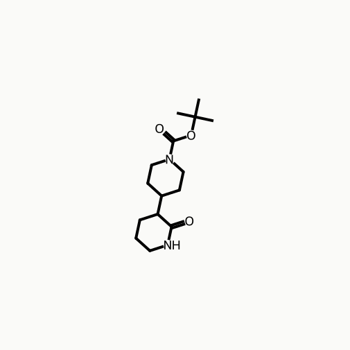 CC(C)(C)OC(=O)N1CCC(C2CCCNC2=O)CC1